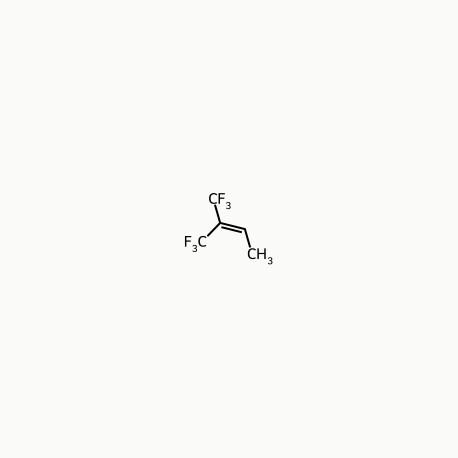 CC=C(C(F)(F)F)C(F)(F)F